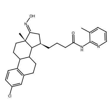 Cc1cccnc1NC(=O)CCC[C@@H]1C/C(=N\O)[C@@]2(C)CCC3c4ccc(Cl)cc4CCC3C12